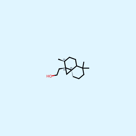 C[C@H]1CCC2C(C)(C)CCC[C@@]23C[C@]13CCO